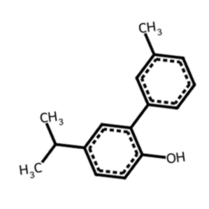 Cc1cccc(-c2cc(C(C)C)ccc2O)c1